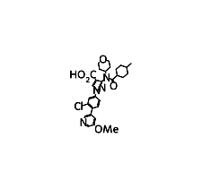 COc1cncc(-c2ccc(-n3cc(C(=O)O)c(N(C(=O)C4CCC(C)CC4)C4CCOCC4)n3)cc2Cl)c1